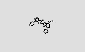 COc1ccc(N2CCOCC2)c2oc(NC(=O)c3ccnc(N4CCOCC4)c3)nc12